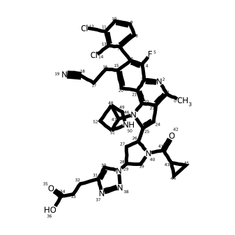 Cc1nc2c(F)c(-c3cccc(Cl)c3Cl)c(CCC#N)cc2c2c1cc(C1CC(n3cc(CCC(=O)O)nn3)CN1C(=O)C1CC1)n2C1C2CNC1C2